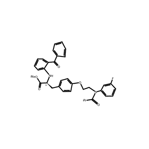 COC(=O)[C@H](Cc1ccc(OCCN(C(=O)C(C)C)c2cccc(F)c2)cc1)Nc1ccccc1C(=O)c1ccccc1